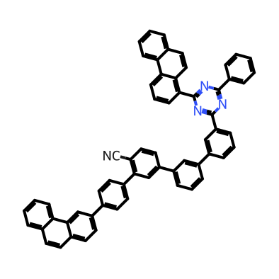 N#Cc1ccc(-c2cccc(-c3cccc(-c4nc(-c5ccccc5)nc(-c5cccc6c5ccc5ccccc56)n4)c3)c2)cc1-c1ccc(-c2ccc3ccc4ccccc4c3c2)cc1